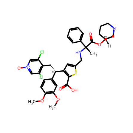 COc1ccc([C@H](Cc2c(Cl)c[n+]([O-])cc2Cl)c2cc(CNC(C)(C(=O)O[C@H]3CN4CCC3CC4)c3ccccc3)sc2C(=O)O)cc1OC